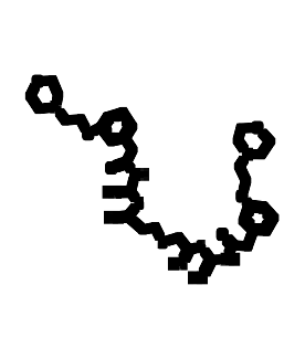 N=C(CCSCC(=N)SC(=N)NC(=O)Cc1cccc(OCCN2CCOCC2)c1)SC(=N)NC(=O)Cc1cccc(OCCN2CCOCC2)c1